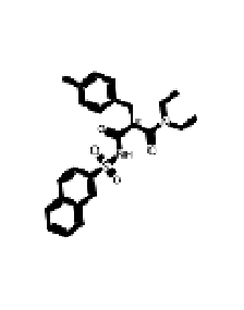 CCN(CC)C(=O)[C@H](Cc1ccc(C)cc1)C(=O)NS(=O)(=O)c1ccc2ccccc2c1